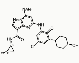 CNc1cc(Nc2cc(Cl)cn([C@H]3CC[C@H](O)CC3)c2=O)nc2c(C(=O)N[C@H]3C[C@H]3F)cnn12